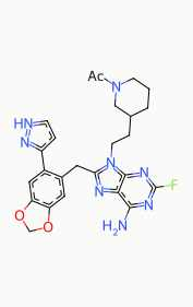 CC(=O)N1CCCC(CCn2c(Cc3cc4c(cc3-c3cc[nH]n3)OCO4)nc3c(N)nc(F)nc32)C1